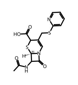 CC(=O)NC1C(=O)N2C=C(CSc3ccccn3)C(C(=O)O)S[C@H]12